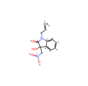 C=CCN1C(=O)C(O)(C[N+](=O)[O-])c2ccccc21